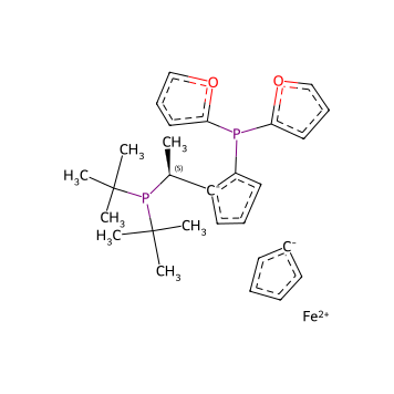 C[C@@H]([c-]1cccc1P(c1ccco1)c1ccco1)P(C(C)(C)C)C(C)(C)C.[Fe+2].c1cc[cH-]c1